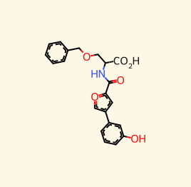 O=C(NC(COCc1ccccc1)C(=O)O)c1cc(-c2cccc(O)c2)co1